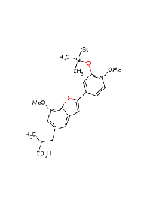 COc1ccc(-c2cc3cc(CC(C)C(=O)O)cc(OC)c3o2)cc1O[Si](C)(C)C(C)(C)C